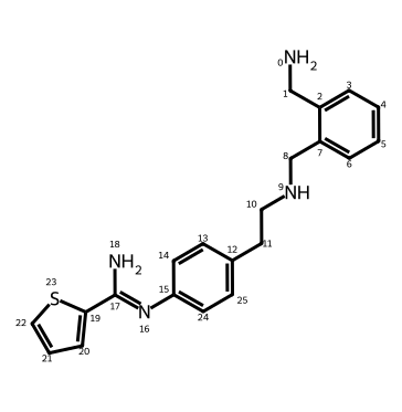 NCc1ccccc1CNCCc1ccc(N=C(N)c2cccs2)cc1